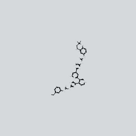 CC(C)Cc1cccc(NC(=O)Nc2ncc(-c3ccncc3-c3cc(-c4nnc(NC(=O)Nc5ccc6c(c5)CCC(C)(C)O6)s4)ccn3)s2)c1